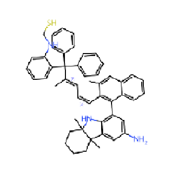 C/C(=C\C=C/c1c(C)cc2ccccc2c1-c1cc(N)cc2c1NC1(C)CCCCC21C)C(c1ccccc1)(c1ccccc1)c1ccccc1NCS